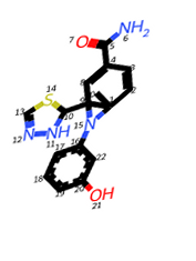 CC12C=CC(C(N)=O)=CC1(C1NN=CS1)N2c1cccc(O)c1